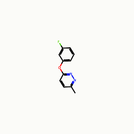 Cc1ccc(Oc2cccc(F)c2)nn1